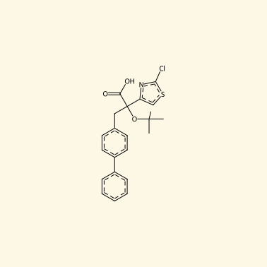 CC(C)(C)OC(Cc1ccc(-c2ccccc2)cc1)(C(=O)O)c1csc(Cl)n1